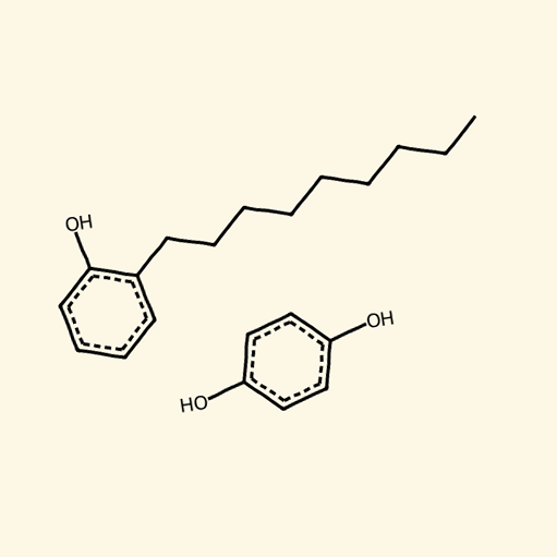 CCCCCCCCCc1ccccc1O.Oc1ccc(O)cc1